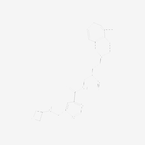 CC1=CCC=CC2=C1CCN(CCC(CNC(=O)c1cc(CNC3COC3)ncn1)N=O)C2